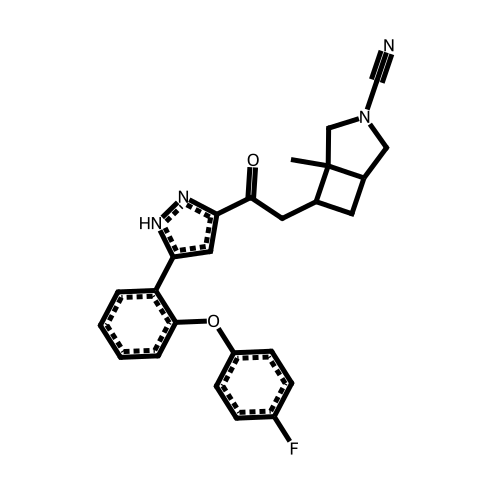 CC12CN(C#N)CC1CC2CC(=O)c1cc(-c2ccccc2Oc2ccc(F)cc2)[nH]n1